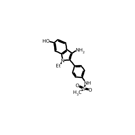 CCn1c(-c2ccc(NS(C)(=O)=O)cc2)c(N)c2ccc(O)cc21